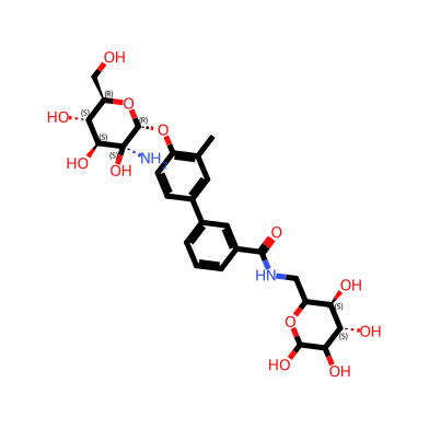 Cc1cc(-c2cccc(C(=O)NCC3OC(O)C(O)[C@@H](O)[C@@H]3O)c2)ccc1O[C@H]1O[C@H](CO)[C@@H](O)[C@H](O)[C@]1(N)O